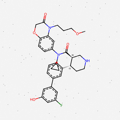 COCCCN1C(=O)COc2ccc(N(C(=O)[C@H]3CNCC[C@@H]3c3cccc(-c4cc(O)cc(F)c4)c3)C3CC3)cc21